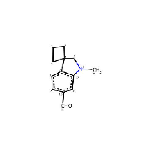 CN1CC2(CCC2)c2ccc(C=O)cc21